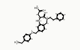 NCc1ccc(OCc2ccc3c(c2)NC(CC(=O)O)C(=O)N(CCc2ccccc2)C3)cc1